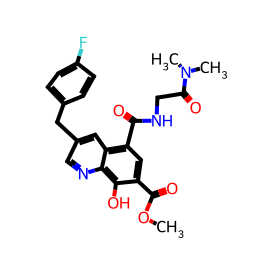 COC(=O)c1cc(C(=O)NCC(=O)N(C)C)c2cc(Cc3ccc(F)cc3)cnc2c1O